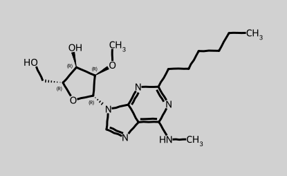 CCCCCCc1nc(NC)c2ncn([C@@H]3O[C@H](CO)[C@@H](O)[C@H]3OC)c2n1